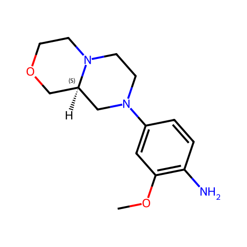 COc1cc(N2CCN3CCOC[C@@H]3C2)ccc1N